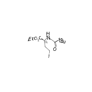 CCOC(=O)[C@H](CCI)NC(=O)C(C)(C)C